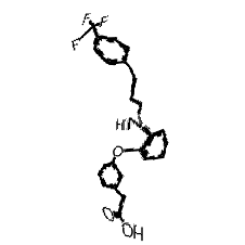 O=C(O)Cc1cccc(Oc2ccccc2NCC=Cc2ccc(C(F)(F)F)cc2)c1